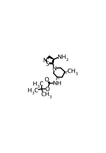 C[C@@H]1C[C@H](NC(=O)OC(C)(C)C)CN(c2sncc2N)C1